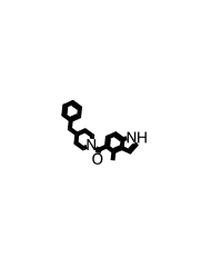 Cc1c(C(=O)N2CCC(Cc3ccccc3)CC2)ccc2[nH]ccc12